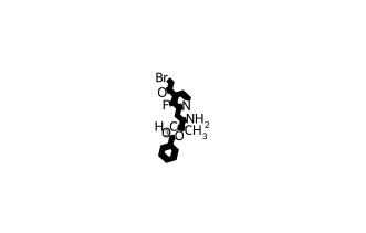 CC(C)(OC(=O)c1ccccc1)C(N)Cc1nccc(C(=O)CBr)c1F